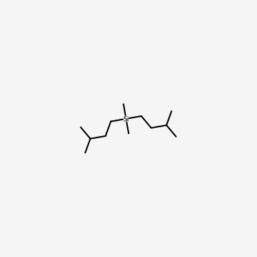 CC(C)CC[Si](C)(C)CCC(C)C